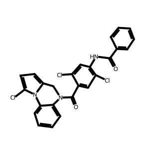 O=C(Nc1cc(Cl)c(C(=O)N2Cc3ccc(Cl)n3-c3ccccc32)cc1Cl)c1ccccc1